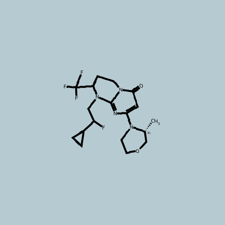 C[C@@H]1COCCN1c1cc(=O)n2c(n1)N(CC(F)C1CC1)C(C(F)(F)F)CC2